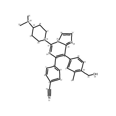 Cc1cc(-c2c(-c3ccc(C#N)cc3)nc(N3CCC(N(C)C)CC3)n3ccnc23)ccc1CO